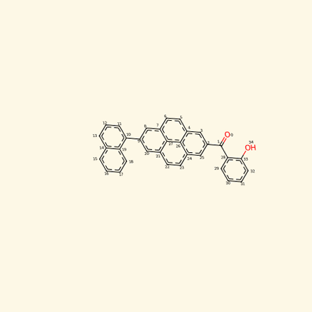 O=C(c1cc2ccc3cc(-c4cccc5ccccc45)cc4ccc(c1)c2c34)c1ccccc1O